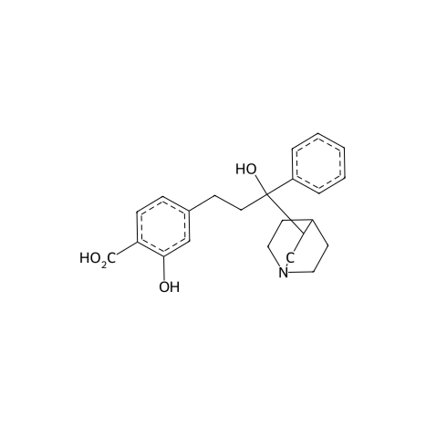 O=C(O)c1ccc(CCC(O)(c2ccccc2)C2CN3CCC2CC3)cc1O